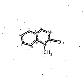 Cn1c(=O)ncc2ccccc21